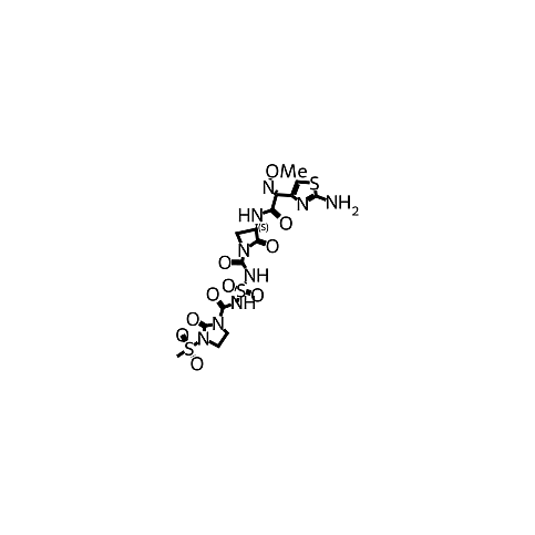 CON=C(C(=O)N[C@H]1CN(C(=O)NS(=O)(=O)NC(=O)N2CCN(S(C)(=O)=O)C2=O)C1=O)c1csc(N)n1